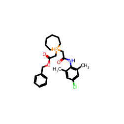 Cc1cc(Cl)cc(C)c1NC(=O)C[PH]1(CC(=O)OCc2ccccc2)CCCCCC1